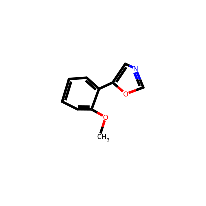 COc1ccccc1-c1cnco1